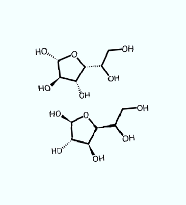 OCC(O)[C@@H]1O[C@H](O)[C@@H](O)[C@@H]1O.OCC(O)[C@H]1O[C@@H](O)[C@H](O)[C@H]1O